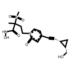 CC(CCn1ccc(C#C[C@@H]2C[C@@H]2CO)cc1=O)(C(=O)NO)S(C)(=O)=O